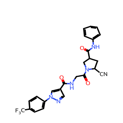 N#CC1CC(C(=O)Nc2ccccc2)CN1C(=O)CNC(=O)c1cnn(-c2ccc(C(F)(F)F)cc2)c1